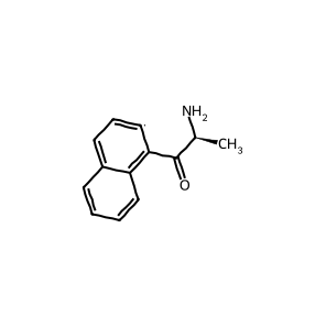 C[C@H](N)C(=O)c1[c]ccc2ccccc12